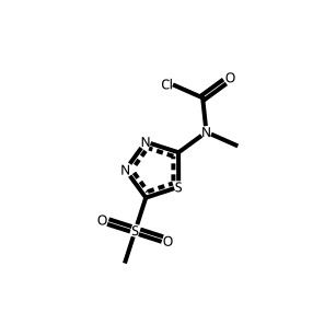 CN(C(=O)Cl)c1nnc(S(C)(=O)=O)s1